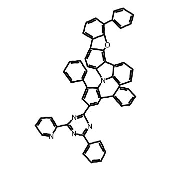 c1ccc(-c2nc(-c3cc(-c4ccccc4)c(-n4c5ccccc5c5c6oc7c(-c8ccccc8)cccc7c6ccc54)c(-c4ccccc4)c3)nc(-c3ccccn3)n2)cc1